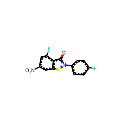 O=c1c2c(F)cc([N+](=O)[O-])cc2sn1-c1ccc(F)cc1